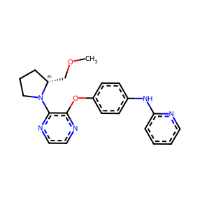 COC[C@H]1CCCN1c1nccnc1Oc1ccc(Nc2ccccn2)cc1